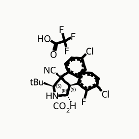 CC(C)(C)[C@@H]1N[C@@H](C(=O)O)[C@H](c2cccc(Cl)c2F)[C@@]1(C#N)c1ccc(Cl)cc1.O=C(O)C(F)(F)F